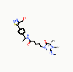 CCCN(/C=N\C)[C@H](C(=O)N(C)CCCCC(=O)NC(C)c1ccc(-c2snnc2CO)cc1)C(C)C